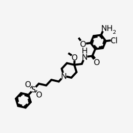 COc1cc(N)c(Cl)cc1C(=O)NCC1(OC)CCN(CCCCS(=O)(=O)c2ccccc2)CC1